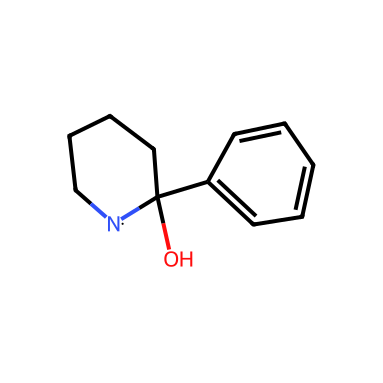 OC1(c2ccccc2)CCCC[N]1